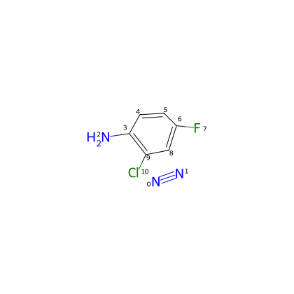 N#N.Nc1ccc(F)cc1Cl